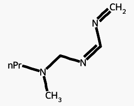 C=N/C=N\CN(C)CCC